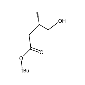 C[C@H](CO)CC(=O)OC(C)(C)C